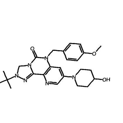 COc1ccc(CN2C(=O)N3CN(C(C)(C)C)N=C3c3ncc(N4CCC(O)CC4)cc32)cc1